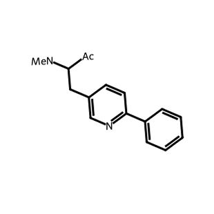 CNC(Cc1ccc(-c2ccccc2)nc1)C(C)=O